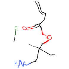 C=CC(=O)OC(C)(C)CN.CCl